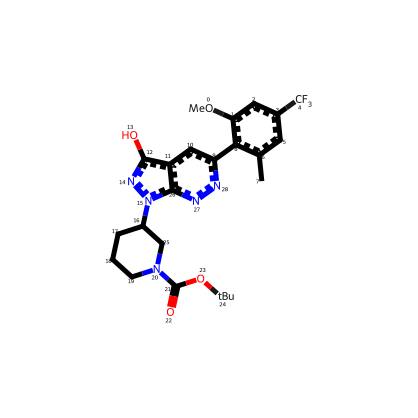 COc1cc(C(F)(F)F)cc(C)c1-c1cc2c(O)nn(C3CCCN(C(=O)OC(C)(C)C)C3)c2nn1